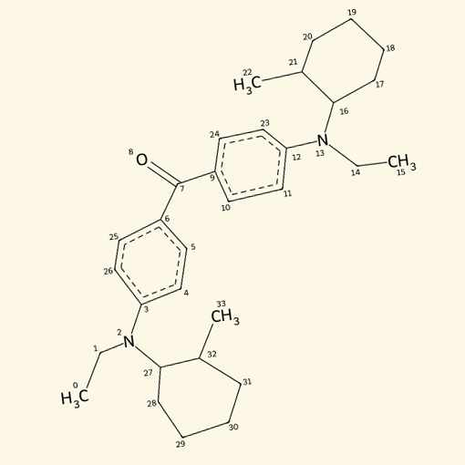 CCN(c1ccc(C(=O)c2ccc(N(CC)C3CCCCC3C)cc2)cc1)C1CCCCC1C